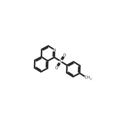 Cc1ccc(S(=O)(=O)c2nccc3ccccc23)cc1